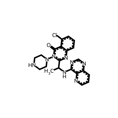 CC(Nc1ncnc2cccnc12)c1nc2cccc(Cl)c2c(=O)n1N1CCNCC1